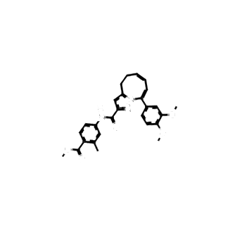 COC(=O)c1ccc(NC(=O)c2cc3n(n2)/C(c2ccc(OC)c(OC)c2)=C\C=C/CC3)cc1C